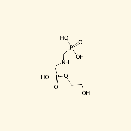 O=P(O)(O)CNCP(=O)(O)OCCO